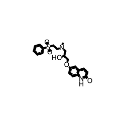 CN(CCS(=O)(=O)c1ccccc1)CC(O)COc1ccc2[nH]c(=O)ccc2c1